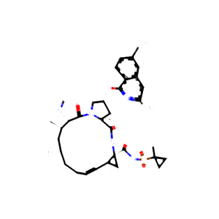 COc1ccc2c(O[C@@H]3C[C@H]4C(=O)N[C@]5(C(=O)NS(=O)(=O)C6(C)CC6)C[C@H]5/C=C\CC[C@H](C)C[C@@H](C)[C@H](NC(=O)O)C(=O)N4C3)nc(OC)cc2c1